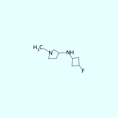 CN1CCC(NC2CC(F)C2)C1